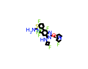 Nc1nc2c(-c3c(C(F)(F)F)cc4c(N[C@H]5C[C@@H](F)C5)nc(OC[C@@]56CCCN5C[C@H](F)C6)nc4c3F)ccc(F)c2s1